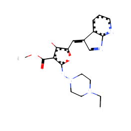 CC(C)OC(=O)c1c(NN2CCN(CC(F)(F)F)CC2)oc(/C=C2\C=Nc3ncccc32)c1O